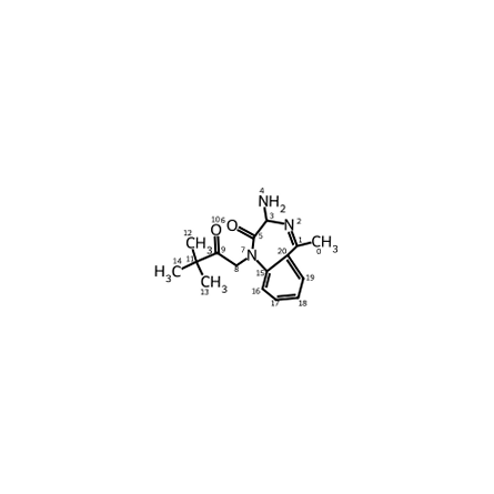 CC1=NC(N)C(=O)N(CC(=O)C(C)(C)C)c2ccccc21